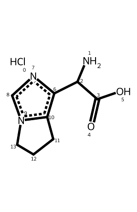 Cl.NC(C(=O)O)c1ncn2c1CCC2